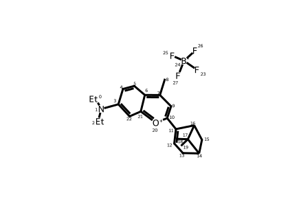 CCN(CC)c1ccc2c(C)cc(C3=CCC4CC3C4(C)C)[o+]c2c1.F[B-](F)(F)F